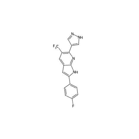 Fc1ccc(-c2cc3cc(C(F)(F)F)c(-c4cn[nH]c4)nc3[nH]2)cc1